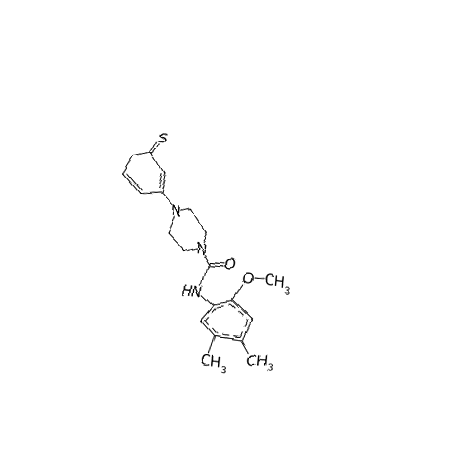 COc1cc(C)c(C)cc1NC(=O)N1CCN(C2=CC(=S)CC=C2)CC1